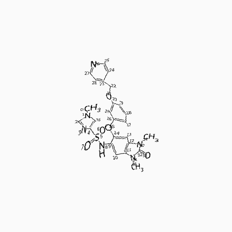 Cn1cnc(S(=O)(=O)Nc2cc3c(cc2Oc2cccc(OCc4ccncc4)c2)n(C)c(=O)n3C)c1